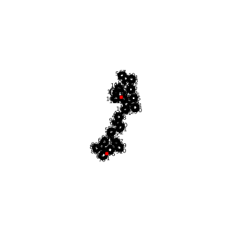 CC1(C)c2ccccc2-c2cccc(-c3cccc(N(c4ccc5c(c4)C(c4ccccc4)(c4ccccc4)c4ccc(-c6ccc7c(c6)-c6cccc(-c8cccc(N(c9ccc%10c(c9)C(c9ccccc9)(c9ccccc9)c9ccccc9-%10)c9ccc%10ccccc%10c9)c8)c6C7(C)C)cc4-5)c4cccc5oc6ccccc6c45)c3)c21